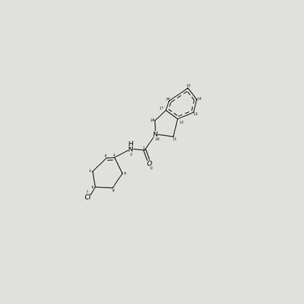 O=C(NC1=CCC(Cl)CC1)N1Cc2ccccc2C1